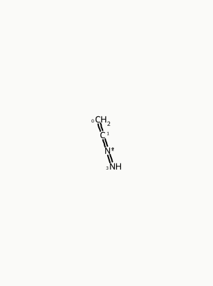 C=C=[N+]=N